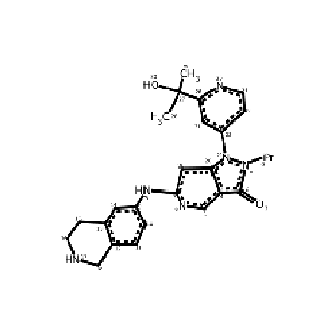 CC(C)n1c(=O)c2cnc(Nc3ccc4c(c3)CCNC4)cc2n1-c1ccnc(C(C)(C)O)c1